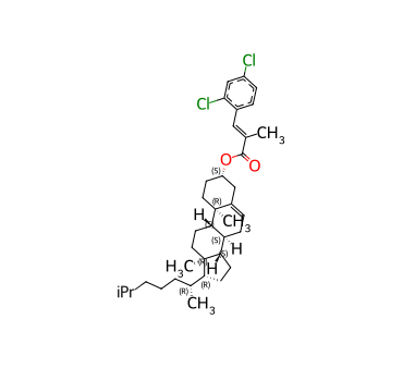 CC(=Cc1ccc(Cl)cc1Cl)C(=O)O[C@H]1CC[C@@]2(C)C(=CC[C@H]3[C@@H]4CC[C@H]([C@H](C)CCCC(C)C)[C@@]4(C)CC[C@@H]32)C1